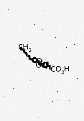 C=CCCCCCCC1CCC(OC(=O)c2ccc(/C=C/C(=O)O)cc2)CC1